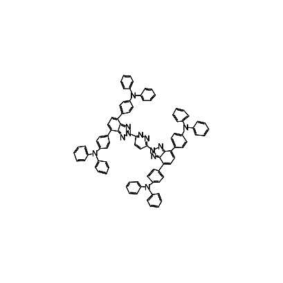 c1ccc(N(c2ccccc2)c2ccc(-c3ccc(-c4ccc(N(c5ccccc5)c5ccccc5)cc4)c4nn(-c5ccc(-n6nc7c(-c8ccc(N(c9ccccc9)c9ccccc9)cc8)ccc(-c8ccc(N(c9ccccc9)c9ccccc9)cc8)c7n6)nn5)nc34)cc2)cc1